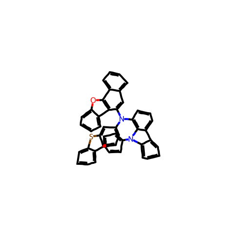 c1ccc(-n2c3ccccc3c3cccc(N(c4ccc5c(c4)sc4ccccc45)c4cc5ccccc5c5oc6ccccc6c45)c32)cc1